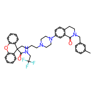 Cc1cccc(CN2CCc3ccc(N4CCN(CCCCC5(C(=O)NCC(F)(F)F)c6ccccc6Oc6ccccc65)CC4)cc3C2=O)c1